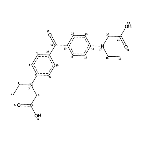 CCN(CC(=O)O)c1ccc(C(=O)c2ccc(N(CC)CC(=O)O)cc2)cc1